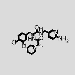 C[C@@H](C(=O)N[C@@H](Cc1ccc(Cl)c(Cl)c1)C(=O)NCc1ccc(N)nc1)N1CCCCC1